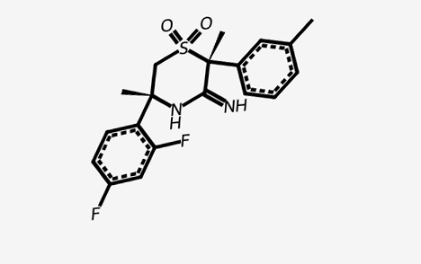 Cc1cccc([C@]2(C)C(=N)N[C@](C)(c3ccc(F)cc3F)CS2(=O)=O)c1